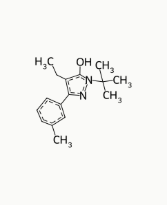 CCc1c(-c2cccc(C)c2)nn(C(C)(C)C)c1O